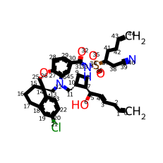 C=CC/C=C/C(O)[C@@H]1CC[C@H]1CN1C[C@@]2(CCCc3cc(Cl)ccc32)COc2ccc(C(=O)NS(=O)(=O)C(CC#N)CCC=C)cc21